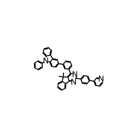 CC1(C)c2ccccc2-c2nc(-c3ccc(-c4cccnc4)cc3)nc(-c3cccc(-c4ccc5c(c4)c4ccccc4n5-c4ccccc4)c3)c21